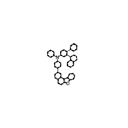 c1ccc(-c2ccc(N(c3ccccc3)c3ccc(-c4ccc5ccc6oc7ccccc7c6c5c4)cc3)cc2-c2cccc3ccccc23)cc1